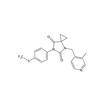 Cc1cnccc1CN1C(=O)N(c2ccc(SC(F)(F)F)cc2)C(=O)C12CC2